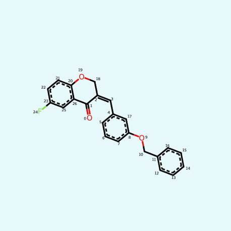 O=C1C(=Cc2cccc(OCc3ccccc3)c2)COc2ccc(F)cc21